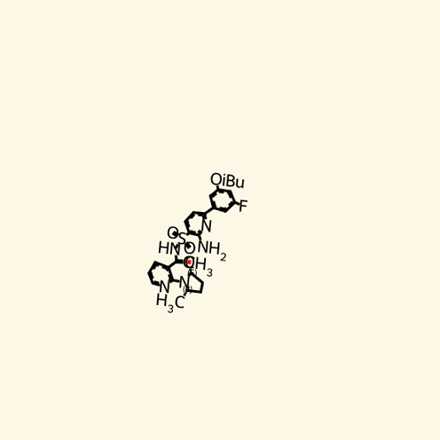 CC(C)COc1cc(F)cc(-c2ccc(S(=O)(=O)NC(=O)c3cccnc3N3[C@H](C)CC[C@@H]3C)c(N)n2)c1